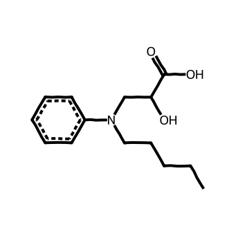 CCCCCN(CC(O)C(=O)O)c1ccccc1